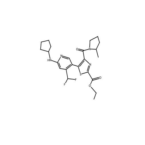 CCOC(=O)c1nc(C(=O)N2CCCC2C)c(-c2cnc(NC3CCCC3)cc2C(F)F)s1